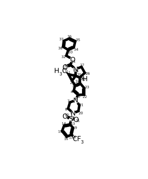 C[C@@H]1C2c3cc(N4CCN(S(=O)(=O)c5cccc(C(F)(F)F)c5)CC4)ccc3[C@@H]3CCN(C(=O)OCc4ccccc4)C213